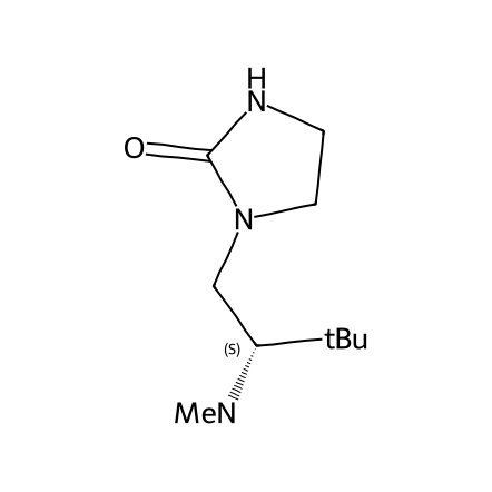 CN[C@H](CN1CCNC1=O)C(C)(C)C